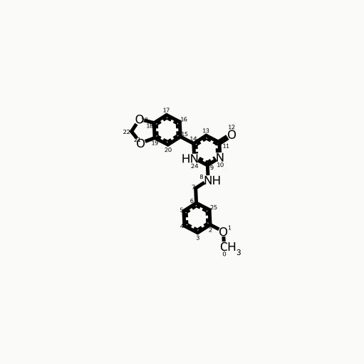 COc1cccc(CNc2nc(=O)cc(-c3ccc4c(c3)OCO4)[nH]2)c1